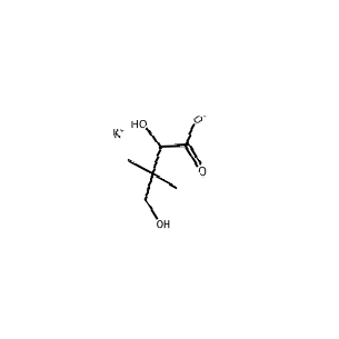 CC(C)(CO)C(O)C(=O)[O-].[K+]